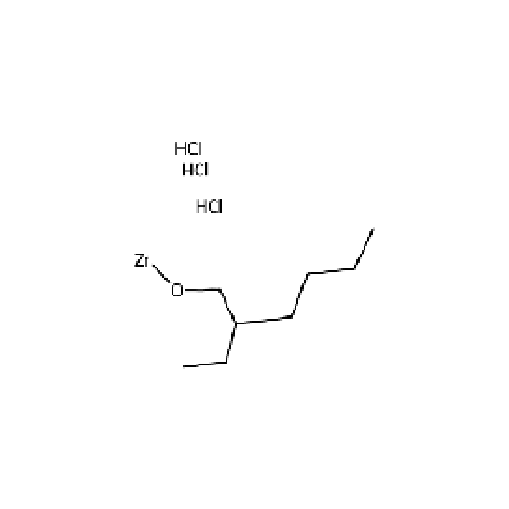 CCCCC(CC)C[O][Zr].Cl.Cl.Cl